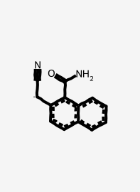 N#C[CH]c1ccc2ccccc2c1C(N)=O